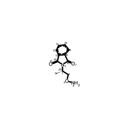 C[C@@H](CON)N1C(=O)c2ccccc2C1=O